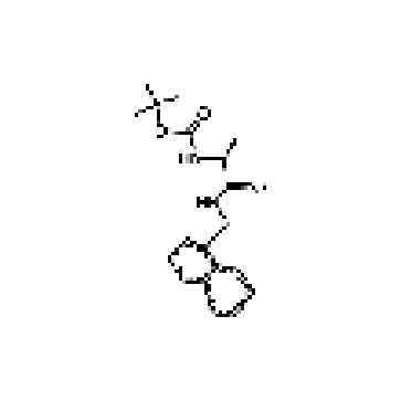 C[C@H](NC(=O)OC(C)(C)C)C(=O)NCc1cccc2ccccc12